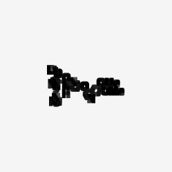 CCOc1cnn(CCn2cccn2)c1C(=O)Nc1ccc(Oc2ccnc3cc(OC)c(OC)cc23)cn1